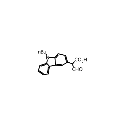 CCCCn1c2ccccc2c2cc(C(C=O)C(=O)O)ccc21